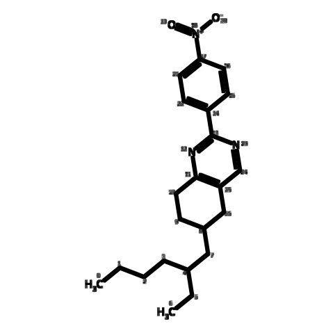 CCCCC(CC)CC1CCc2nc(-c3ccc([N+](=O)[O-])cc3)ncc2C1